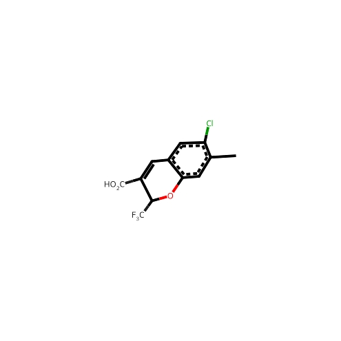 Cc1cc2c(cc1Cl)C=C(C(=O)O)C(C(F)(F)F)O2